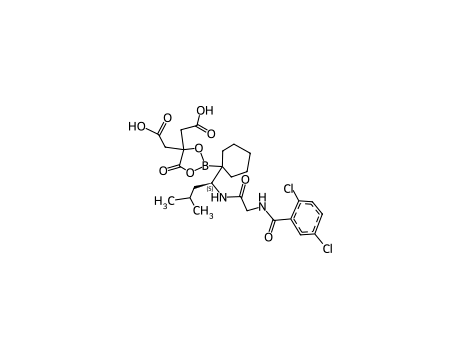 CC(C)C[C@H](NC(=O)CNC(=O)c1cc(Cl)ccc1Cl)C1(B2OC(=O)C(CC(=O)O)(CC(=O)O)O2)CCCCC1